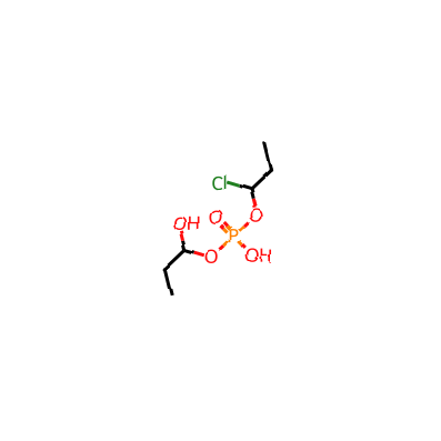 CCC(O)OP(=O)(O)OC(Cl)CC